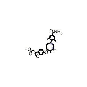 C=C1/C(F)=C\C=C(\c2c(C)cc(C(N)=O)cc2C)CCC[C@H]1Oc1ccc2c(c1)OC[C@H]2CC(=O)O